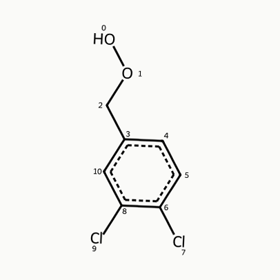 OOCc1ccc(Cl)c(Cl)c1